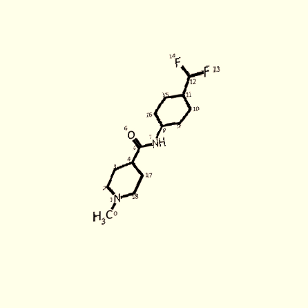 CN1CCC(C(=O)NC2CCC(C(F)F)CC2)CC1